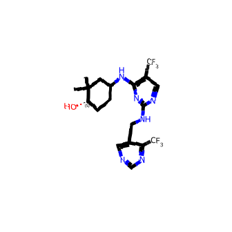 CC1(C)CC(Nc2nc(NCc3cncnc3C(F)(F)F)ncc2C(F)(F)F)CC[C@@H]1O